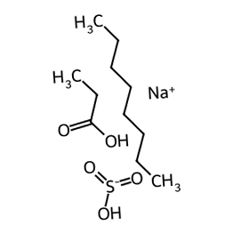 CCC(=O)O.CCCCCCCC.O=[S-](=O)O.[Na+]